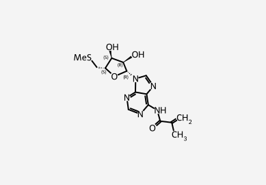 C=C(C)C(=O)Nc1ncnc2c1ncn2[C@@H]1O[C@H](CSC)[C@@H](O)[C@H]1O